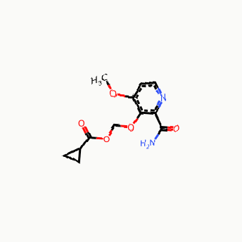 COc1ccnc(C(N)=O)c1OCOC(=O)C1CC1